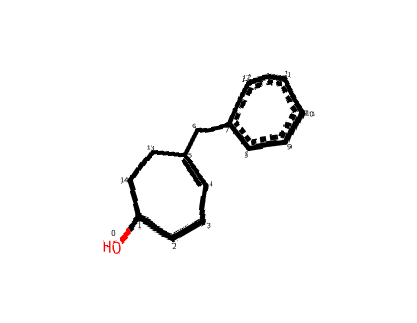 OC1CCC=C(Cc2ccccc2)CC1